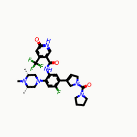 C[C@@H]1CN(c2cc(F)c(C3=CCN(C(=O)N4CCCC4)C3)cc2NC(=O)c2c[nH]c(=O)cc2C(F)(F)F)C[C@H](C)N1C